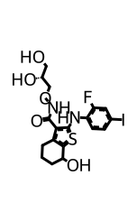 O=C(NOC[C@H](O)CO)c1c(Nc2ccc(I)cc2F)sc2c1CCCC2O